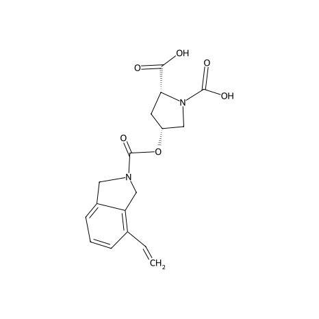 C=Cc1cccc2c1CN(C(=O)O[C@@H]1C[C@H](C(=O)O)N(C(=O)O)C1)C2